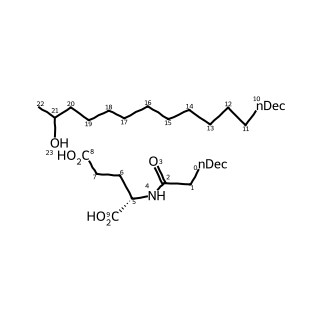 CCCCCCCCCCCC(=O)N[C@@H](CCC(=O)O)C(=O)O.CCCCCCCCCCCCCCCCCCCCC(C)O